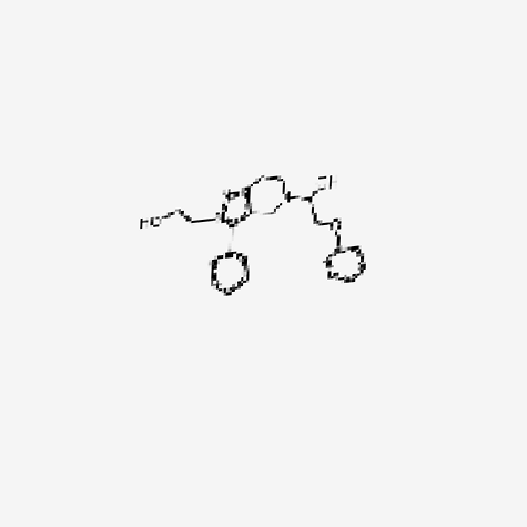 OCCn1nc2c(c1-c1ccccc1)CN(C(O)COc1ccccc1)CC2